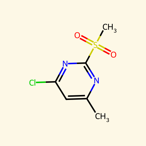 Cc1cc(Cl)nc(S(C)(=O)=O)n1